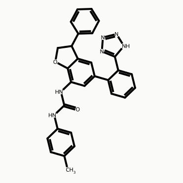 Cc1ccc(NC(=O)Nc2cc(-c3ccccc3-c3nnn[nH]3)cc3c2OCC3c2ccccc2)cc1